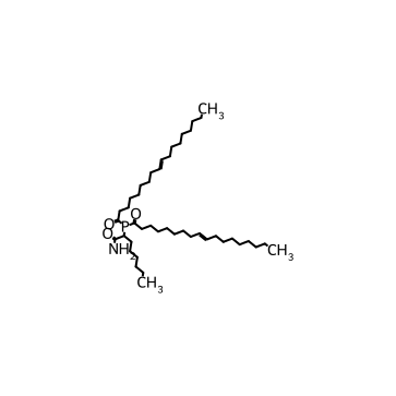 CCCCCCCCC=CCCCCCCCC(=O)P(C(=O)CCCCCCCC=CCCCCCCCC)C(CCCCCC)C(N)=O